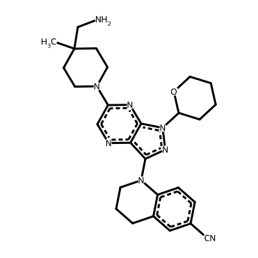 CC1(CN)CCN(c2cnc3c(N4CCCc5cc(C#N)ccc54)nn(C4CCCCO4)c3n2)CC1